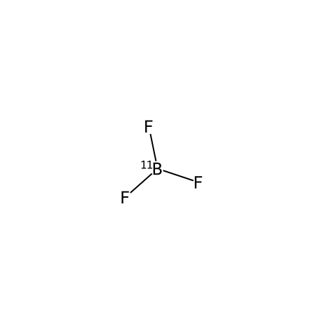 F[11B](F)F